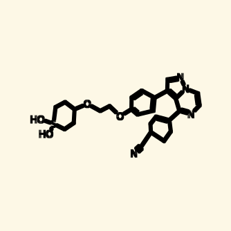 N#CC1CC=C(c2nccn3ncc(-c4ccc(OCCOC5CCS(O)(O)CC5)cc4)c23)CC1